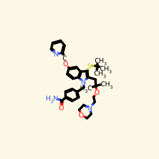 CC(C)(Cc1c(SC(C)(C)C)c2cc(OCc3ccccn3)ccc2n1Cc1ccc(C(N)=O)cc1)OCCN1CCOCC1